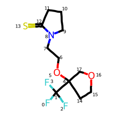 FC(F)(F)C1(OCCN2CCCC2=S)CCOC1